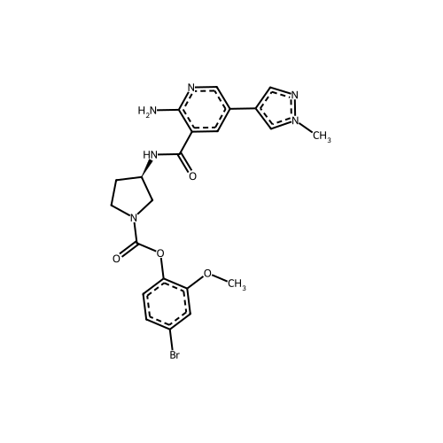 COc1cc(Br)ccc1OC(=O)N1CC[C@@H](NC(=O)c2cc(-c3cnn(C)c3)cnc2N)C1